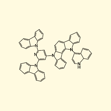 C1=CC2=C(n3c4ccccc4c4ccc5c(c6ccccc6n5-c5cc(-n6c7ccccc7c7ccccc76)nc(-n6c7ccccc7c7ccccc76)c5)c43)C=CNC2C=C1